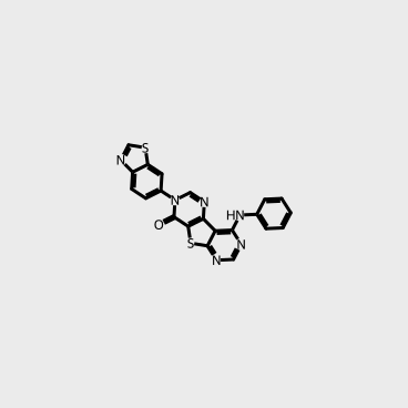 O=c1c2sc3ncnc(Nc4ccccc4)c3c2ncn1-c1ccc2ncsc2c1